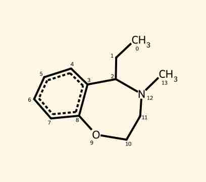 CCC1c2ccccc2OCCN1C